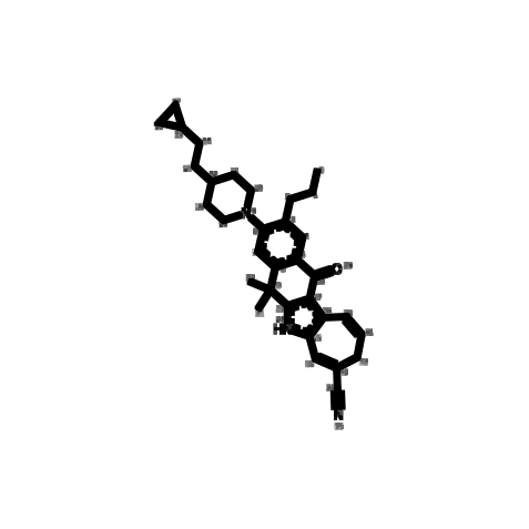 CCCc1cc2c(cc1N1CCC(CCC3CC3)CC1)C(C)(C)c1[nH]c3c(c1C2=O)C=CCC(C#N)=C3